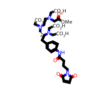 COC(=O)CN(CCN(CC(=O)O)C[C@@H](Cc1ccc(NC(=O)CCCN2C(=O)C=CC2=O)cc1)N(CC(=O)O)CC(=O)O)CC(=O)O